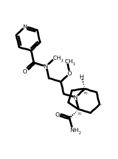 COC(CN(C)C(=O)c1ccncc1)CN1[C@@H]2C[CH]C[C@@]1(C(N)=O)CC2